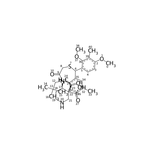 COc1ccc(C2SCC(=O)[N+](CC(C)(C)C)([C@@H]3CCNC[C@@]3(C(C)=O)C(=O)O)c3ccc(C)cc32)c(OC)c1C